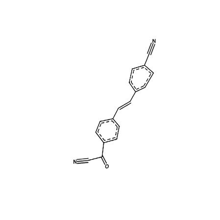 N#CC(=O)c1ccc(C=Cc2ccc(C#N)cc2)cc1